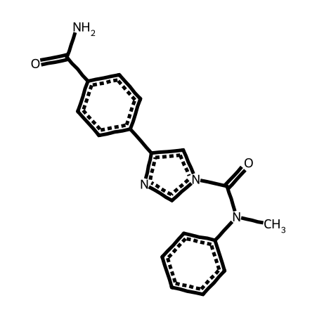 CN(C(=O)n1cnc(-c2ccc(C(N)=O)cc2)c1)c1ccccc1